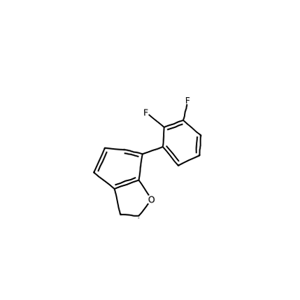 Fc1cccc(-c2cccc3c2O[CH]C3)c1F